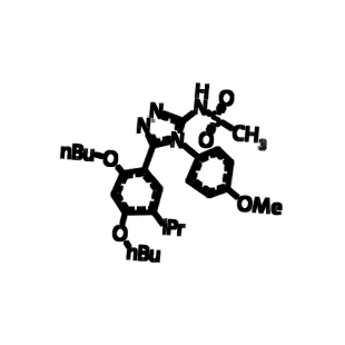 CCCCOc1cc(OCCCC)c(C(C)C)cc1-c1nnc(NS(C)(=O)=O)n1-c1ccc(OC)cc1